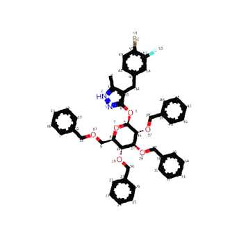 Cc1[nH]nc(O[C@@H]2O[C@H](COCc3ccccc3)[C@@H](OCc3ccccc3)[C@H](OCc3ccccc3)[C@H]2OCc2ccccc2)c1Cc1ccc(Br)c(F)c1